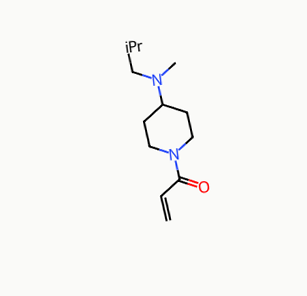 C=CC(=O)N1CCC(N(C)CC(C)C)CC1